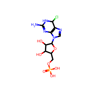 NC1=Nc2c(ncn2C2OC(COP(=O)(O)O)C(O)C2O)C(Cl)N1